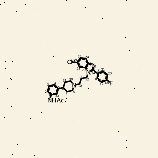 CC(=O)Nc1cccc(C2CCN(CCCn3c(-c4ccc(F)cc4)nc4ccc(Cl)cc43)CC2)c1